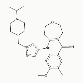 COc1ncc(C(=N)C2=C(Nc3cnn(CC4CCN(C(C)C)CC4)c3)CCOCC2)cc1F